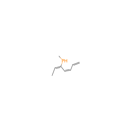 C=C/C=C\C(=C/C)PC